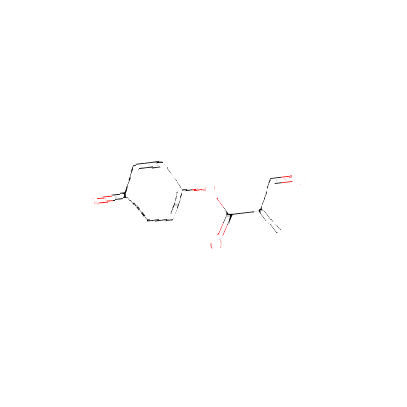 C=C(C=O)C(=O)OC1=CCC(=O)C=C1